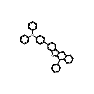 c1ccc(-c2c3ccccc3cc3c2oc2cc(-c4ccc(N(c5ccccc5)c5ccccc5)cc4)ccc23)cc1